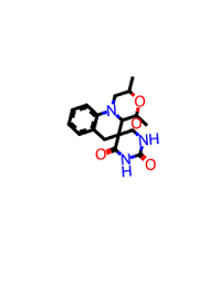 CC1CN2c3ccccc3CC3(C(=O)NC(=O)NC3=O)C2C(C)O1